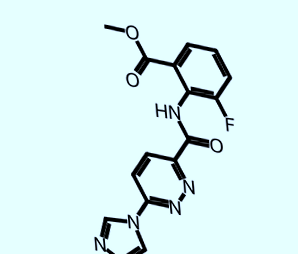 COC(=O)c1cccc(F)c1NC(=O)c1ccc(-n2ccnc2)nn1